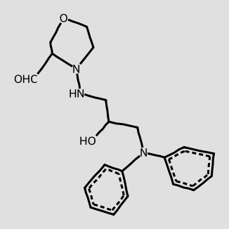 O=CC1COCCN1NCC(O)CN(c1ccccc1)c1ccccc1